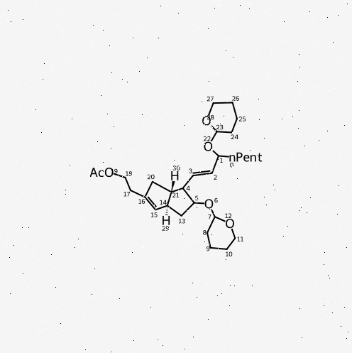 CCCCCC(C=CC1C(OC2CCCCO2)C[C@H]2C=C(CCOC(C)=O)C[C@H]12)OC1CCCCO1